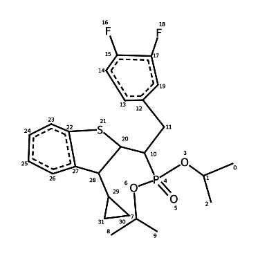 CC(C)OP(=O)(OC(C)C)C(Cc1ccc(F)c(F)c1)C1Sc2ccccc2C1C1CC1